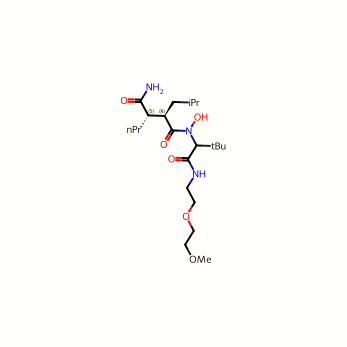 CCC[C@H](C(N)=O)[C@@H](CC(C)C)C(=O)N(O)C(C(=O)NCCOCCOC)C(C)(C)C